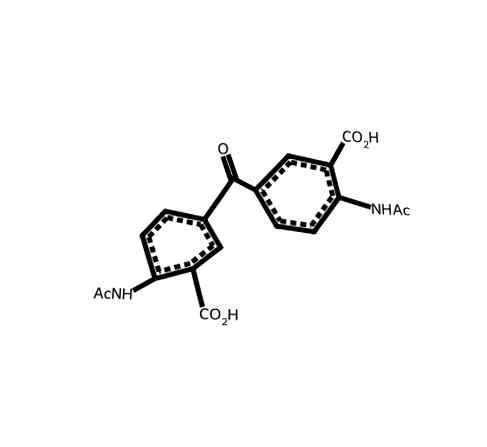 CC(=O)Nc1ccc(C(=O)c2ccc(NC(C)=O)c(C(=O)O)c2)cc1C(=O)O